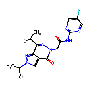 CC(C)c1nn(CC(=O)Nc2ncc(F)cn2)c(=O)c2cn(C(C)C)nc12